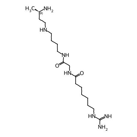 C[C@@H](N)CCNCCCCNC(=O)CNC(=O)CCCCCCNC(=N)N